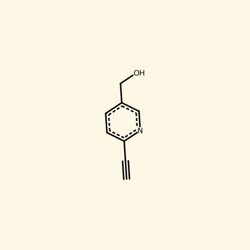 C#Cc1ccc(CO)cn1